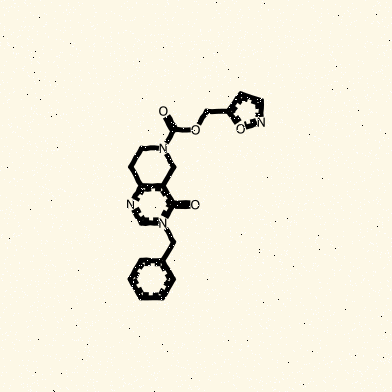 O=C(OCc1ccno1)N1CCc2ncn(Cc3ccccc3)c(=O)c2C1